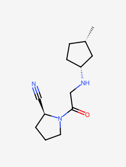 C[C@H]1CC[C@@H](NCC(=O)N2CCC[C@H]2C#N)C1